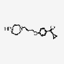 O=C(c1ccc(OCCCN2CCCNCC2)cc1)C1CC1